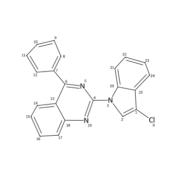 Clc1cn(-c2nc(-c3ccccc3)c3ccccc3n2)c2ccccc12